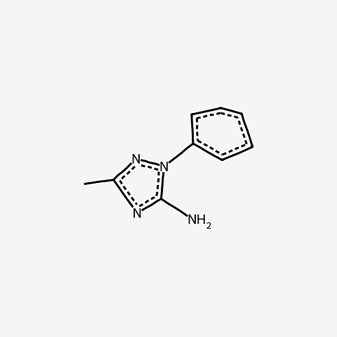 Cc1nc(N)n(-c2ccccc2)n1